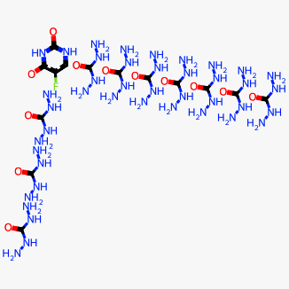 NNC(=O)NN.NNC(=O)NN.NNC(=O)NN.NNC(=O)NN.NNC(=O)NN.NNC(=O)NN.NNC(=O)NN.NNC(=O)NN.NNC(=O)NN.NNC(=O)NN.O=c1[nH]cc(F)c(=O)[nH]1